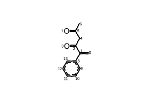 C=C(C(=O)CC(C)=O)c1ccccc1